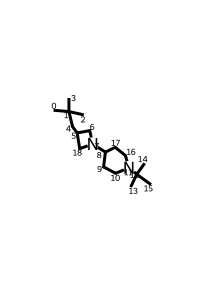 CC(C)(C)CC1CN(C2CCN(C(C)(C)C)CC2)C1